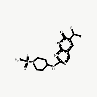 NS(=O)(=O)N1CCC(Nc2ncc3cc(C(F)F)c(=O)[nH]c3n2)CC1